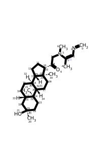 C=N/C=C(/C)N(C)CC(=O)[C@H]1CC[C@H]2[C@@H]3CC[C@H]4C[C@](C)(O)CC[C@]4(C)[C@H]3CC[C@]12C